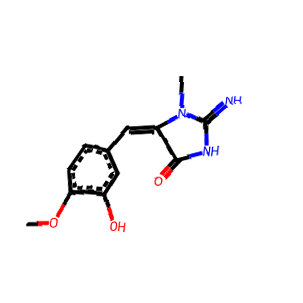 COc1ccc(/C=C2\C(=O)NC(=N)N2C)cc1O